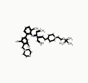 C=CC(=N\c1c(C)cccc1-c1cc(F)c(CN2CCOCC2)c(F)c1)/C(C=N)=C/CC1CCN(CCOC(C)(C)C)CC1